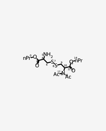 CCCOC(=O)C(N)CSSCC(C(=O)OCCC)N(C(C)=O)C(C)=O